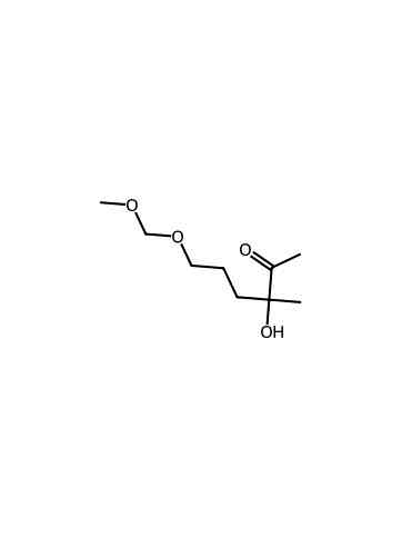 COCOCCCC(C)(O)C(C)=O